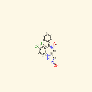 [O-][N+]1=C(c2ccccc2F)c2cc(Cl)ccc2NC(C=NO)C1